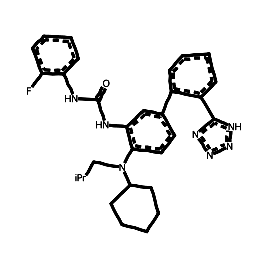 CC(C)CN(c1ccc(-c2ccccc2-c2nnn[nH]2)cc1NC(=O)Nc1ccccc1F)C1CCCCC1